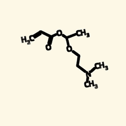 C=CC(=O)OC(C)OCCN(C)C